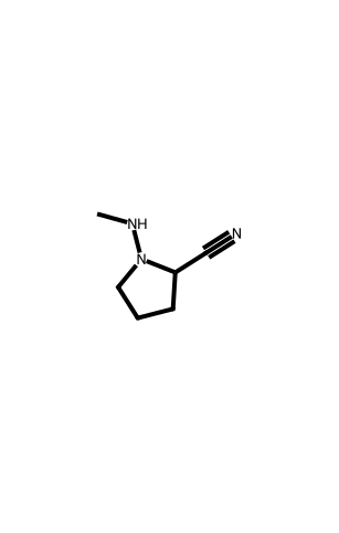 CNN1CCCC1C#N